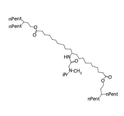 CCCCCC(CCCCC)CCOC(=O)CCCCCCCCCC(CCCCCCCCCC(=O)OCCC(CCCCC)CCCCC)NC(=O)CN(C)C(C)C